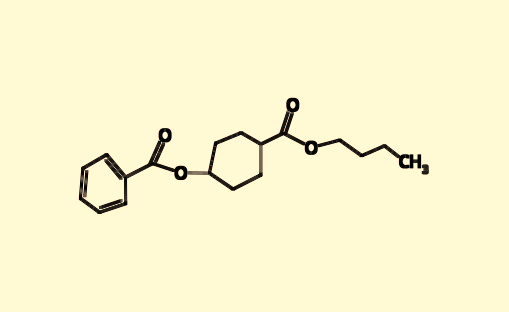 CCCCOC(=O)C1CCC(OC(=O)c2ccccc2)CC1